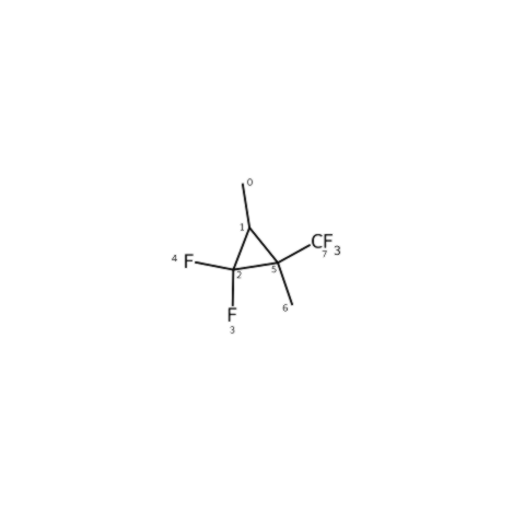 CC1C(F)(F)C1(C)C(F)(F)F